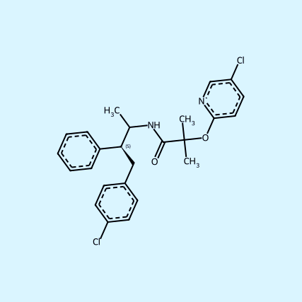 CC(NC(=O)C(C)(C)Oc1ccc(Cl)cn1)[C@@H](Cc1ccc(Cl)cc1)c1ccccc1